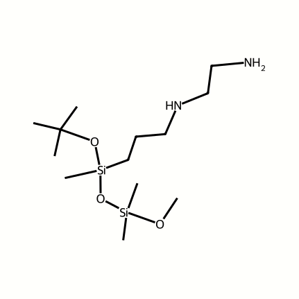 CO[Si](C)(C)O[Si](C)(CCCNCCN)OC(C)(C)C